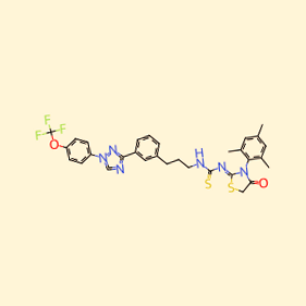 Cc1cc(C)c(N2C(=O)CS/C2=N\C(=S)NCCCc2cccc(-c3ncn(-c4ccc(OC(F)(F)F)cc4)n3)c2)c(C)c1